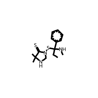 CCC(NC)(SN1CNC(C)(C)C1=S)c1ccccc1